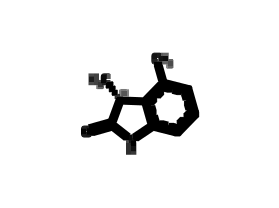 Cc1cccc2c1[C@@H](C)C(=O)N2